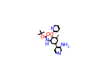 C[C@H]1C[C@@H](c2ccncc2N)C[C@@H](NC(=O)OC(C)(C)C)[C@H]1Oc1ccccn1